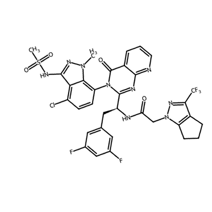 Cn1nc(NS(C)(=O)=O)c2c(Cl)ccc(-n3c([C@H](Cc4cc(F)cc(F)c4)NC(=O)Cn4nc(C(F)(F)F)c5c4CCC5)nc4ncccc4c3=O)c21